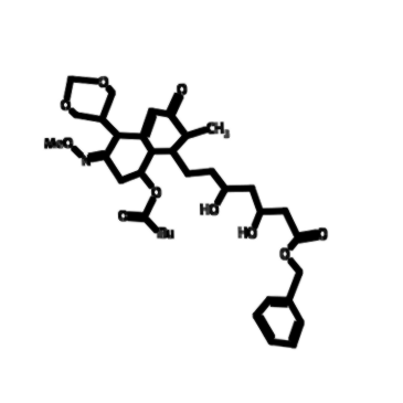 CCC(C)C(=O)OC1CC(=NOC)C(C2COCOC2)C2=CC(=O)C(C)C(CCC(O)CC(O)CC(=O)OCc3ccccc3)C21